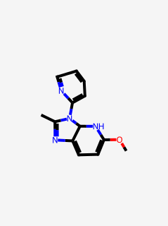 COC1=CC=C2N=C(C)N(c3ccccn3)C2N1